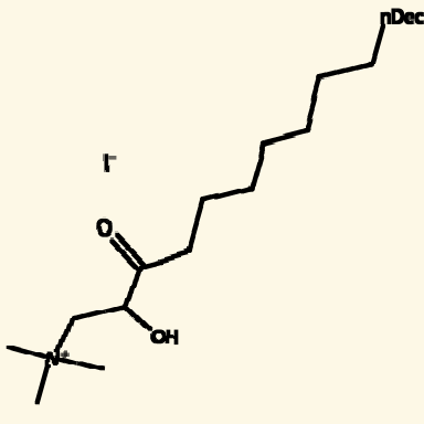 CCCCCCCCCCCCCCCCCC(=O)C(O)C[N+](C)(C)C.[I-]